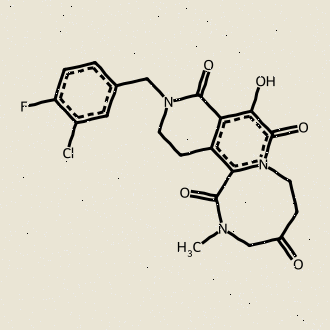 CN1CC(=O)CCn2c(c3c(c(O)c2=O)C(=O)N(Cc2ccc(F)c(Cl)c2)CC3)C1=O